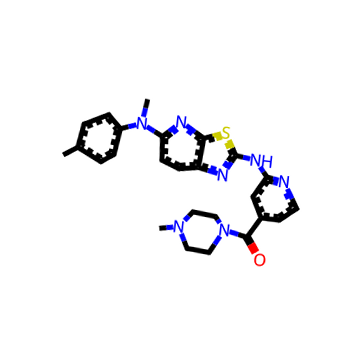 Cc1ccc(N(C)c2ccc3nc(Nc4cc(C(=O)N5CCN(C)CC5)ccn4)sc3n2)cc1